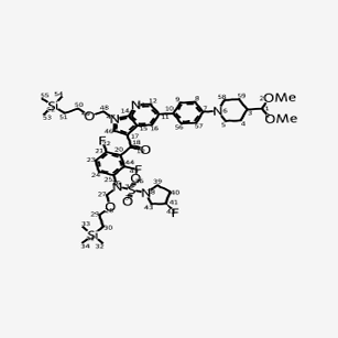 COC(OC)C1CCN(c2ccc(-c3cnc4c(c3)c(C(=O)c3c(F)ccc(N(COCC[Si](C)(C)C)S(=O)(=O)N5CC[C@@H](F)C5)c3F)cn4COCC[Si](C)(C)C)cc2)CC1